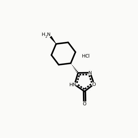 Cl.N[C@H]1CC[C@H](c2noc(=O)[nH]2)CC1